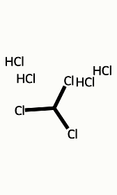 Cl.Cl.Cl.Cl.ClC(Cl)Cl